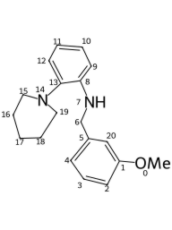 COc1cccc(CNc2ccccc2N2CCCCC2)c1